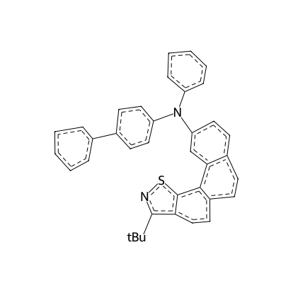 CC(C)(C)c1nsc2c1ccc1ccc3ccc(N(c4ccccc4)c4ccc(-c5ccccc5)cc4)cc3c12